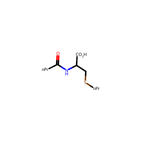 CCCSCC(NC(=O)CCC)C(=O)O